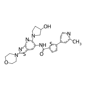 Cc1cc(-c2ccc(C(=O)Nc3cc4sc(N5CCOCC5)nc4nc3N3CCC(O)C3)s2)ccn1